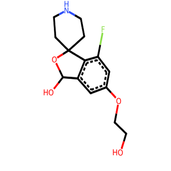 OCCOc1cc(F)c2c(c1)C(O)OC21CCNCC1